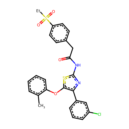 CCS(=O)(=O)c1ccc(CC(=O)Nc2nc(-c3cccc(Cl)c3)c(Oc3ccccc3C)s2)cc1